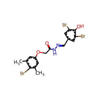 Cc1cc(OCC(=O)N/N=C/c2cc(Br)c(O)c(Br)c2)cc(C)c1Br